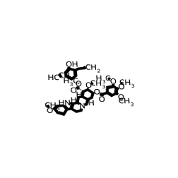 C#C.C=CCc1ccccc1O.COC(=O)[C@H]1[C@H]2C[C@@H]3c4[nH]c5cc(OC)ccc5c4CCN3C[C@H]2C[C@@H](OC(=O)c2cc(OC)c(OC)c(OC)c2)[C@@H]1OC